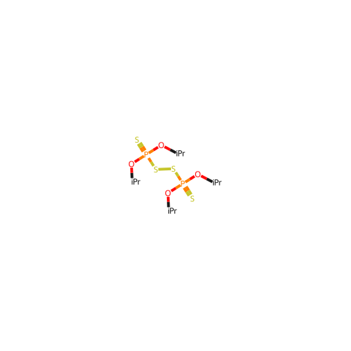 CC(C)OP(=S)(OC(C)C)SSP(=S)(OC(C)C)OC(C)C